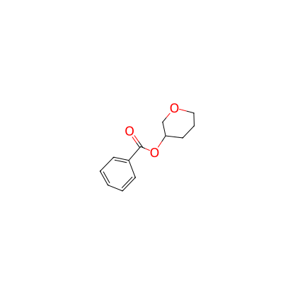 O=C(OC1CCCOC1)c1ccccc1